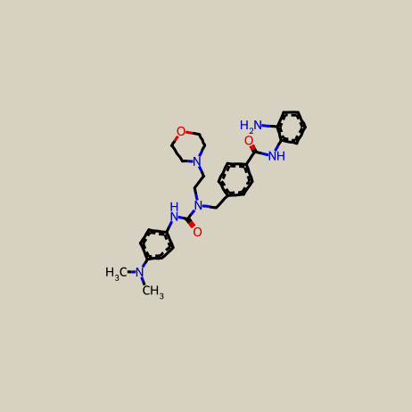 CN(C)c1ccc(NC(=O)N(CCN2CCOCC2)Cc2ccc(C(=O)Nc3ccccc3N)cc2)cc1